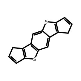 C1=Cc2sc3cc4c5c(sc4cc3c2C1)C=CC5